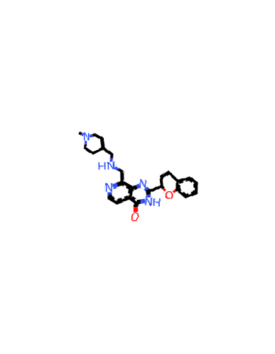 CN1CCC(CNCc2nccc3c(=O)[nH]c(C4CCc5ccccc5O4)nc23)CC1